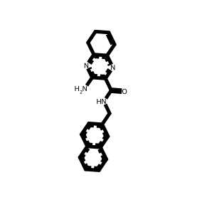 Nc1nc2c(nc1C(=O)NCc1ccc3ccccc3c1)C=CCC2